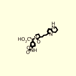 O=C(O)C[C@@H](c1ccc2[nH]c(=O)oc2c1)N1CCC(CCCc2ccc3c(n2)CCCN3)C1=O